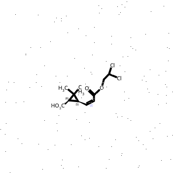 CC1(C)[C@H](C(=O)O)[C@@H]1/C=C\C(=O)OCC(Cl)Cl